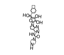 O=C(Nc1ncnc2c1ccn2[C@@H]1O[C@H]([C@H](O)c2ccc3c(c2)CC3)[C@@H](O)[C@H]1O)N1CCNCC1